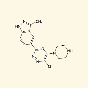 Cc1n[nH]c2ccc(-c3nnc(Cl)c(N4CCNCC4)n3)cc12